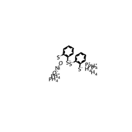 [O]=[Ni][O-].[PH4+].[PH4+].[PH4+].[PH4+].[PH4+].[S-]c1ccccc1[S-].[S-]c1ccccc1[S-]